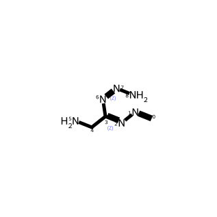 C=N/N=C(CN)\N=N/N